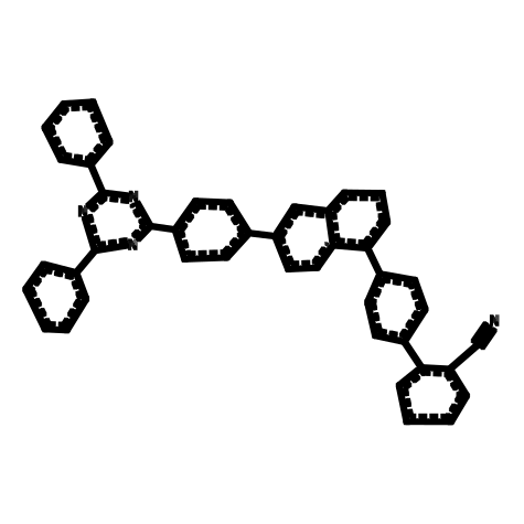 N#Cc1ccccc1-c1ccc(-c2cccc3cc(-c4ccc(-c5nc(-c6ccccc6)nc(-c6ccccc6)n5)cc4)ccc23)cc1